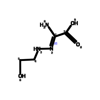 N/C(=N\NCCO)C(=O)O